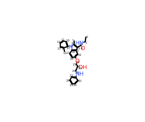 CCNC(=O)c1c(C)n(-c2ccccc2C)c2ccc(OC[C@H](O)CNc3ccccc3)cc12